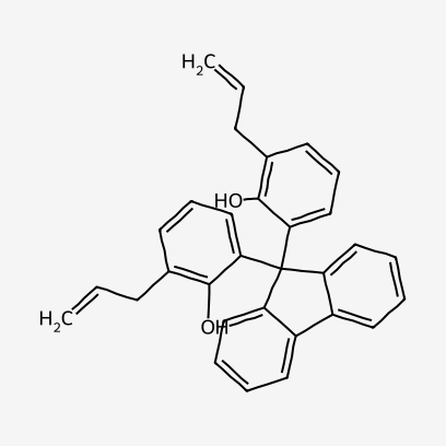 C=CCc1cccc(C2(c3cccc(CC=C)c3O)c3ccccc3-c3ccccc32)c1O